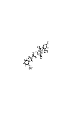 CC(C)Cc1cccc2c1CN(C(=O)C[C@@H]1C[C@@H](C(=O)N3CC(F)C[C@H]3C#N)NC1=O)C2